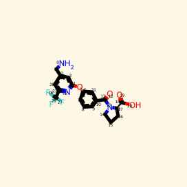 NCc1cc(Oc2cccc(C(=O)N3CCC[C@@H]3C(=O)O)c2)nc(C(F)(F)F)c1